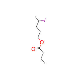 CCCC(=O)OCCCC(C)I